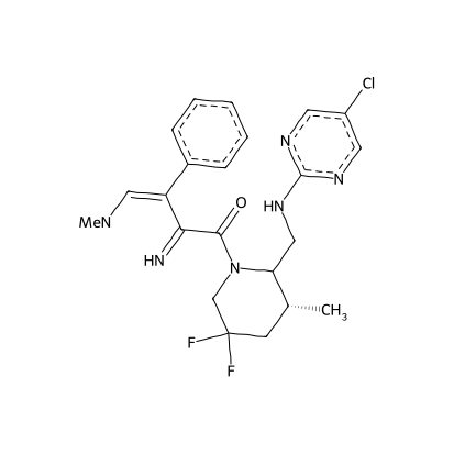 CN/C=C(\C(=N)C(=O)N1CC(F)(F)C[C@@H](C)C1CNc1ncc(Cl)cn1)c1ccccc1